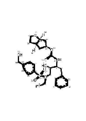 CC(C)CN(C[C@@H](O)[C@H](Cc1ccccc1)NC(=O)O[C@H]1C[C@H]2CCO[C@H]2C1)S(=O)(=O)c1ccc(CO)cc1